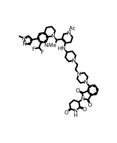 CNC(C1=C(NC2CCN(CCN3CCN(c4cccc5c4C(=O)N(C4CCC(=O)NC4=O)C5=O)CC3)CC2)CCN(C(C)=O)C1)N1CCCc2cc(-c3cnn(C)c3)c(C(F)F)cc21